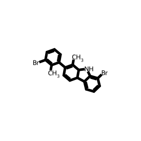 CC1=C(c2cccc(Br)c2C)C=CC2c3cccc(Br)c3NC12